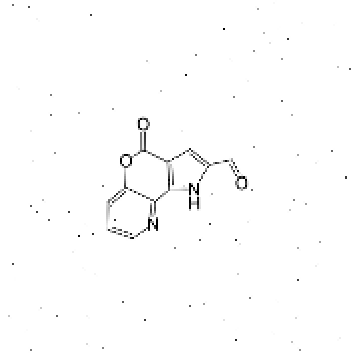 O=Cc1cc2c(=O)oc3cccnc3c2[nH]1